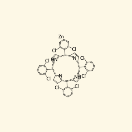 Clc1cccc(Cl)c1-c1c2nc(c(-c3c(Cl)cccc3Cl)c3ccc([nH]3)c(-c3c(Cl)cccc3Cl)c3nc(c(-c4c(Cl)cccc4Cl)c4ccc1[nH]4)C=C3)C=C2.[Zn]